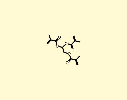 C=C(C)C(=O)OCC(OC(=O)C(=C)C)OC(=O)C(=C)C